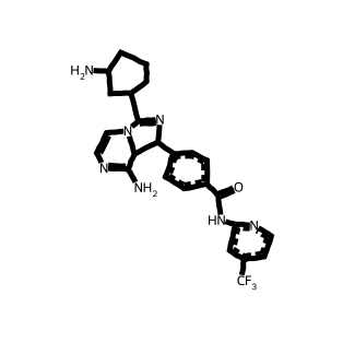 NC1=NC=CN2C(C3CCCC(N)C3)=NC(c3ccc(C(=O)Nc4cc(C(F)(F)F)ccn4)cc3)C12